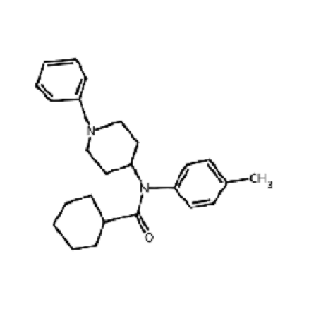 Cc1ccc(N(C(=O)C2CCCCC2)C2CCN(c3ccccc3)CC2)cc1